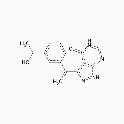 C=C(c1cccc(C(C)O)c1)c1n[nH]c2nc[nH]c(=O)c12